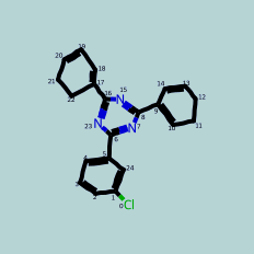 Clc1cccc(-c2nc(C3=CCCC=C3)nc(C3=CC=CCC3)n2)c1